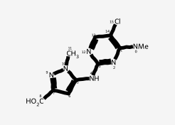 CNc1nc(Nc2cc(C(=O)O)nn2C)ncc1Cl